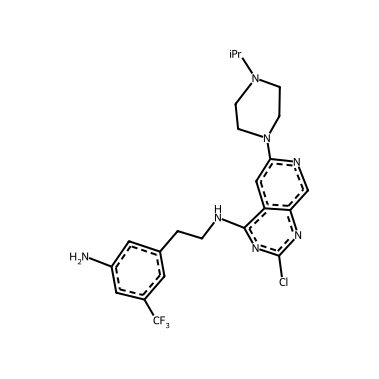 CC(C)N1CCN(c2cc3c(NCCc4cc(N)cc(C(F)(F)F)c4)nc(Cl)nc3cn2)CC1